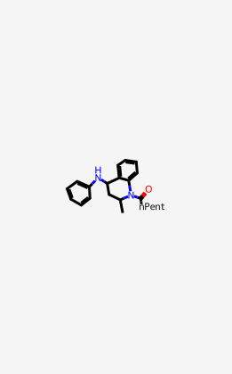 CCCCCC(=O)N1c2ccccc2C(Nc2ccccc2)CC1C